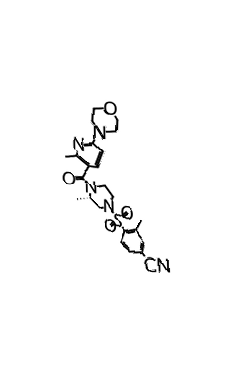 Cc1cc(C#N)ccc1S(=O)(=O)N1CCN(C(=O)c2ccc(N3CCOCC3)nc2C)[C@@H](C)C1